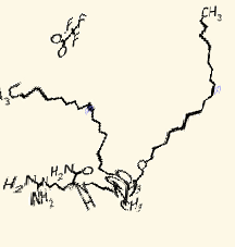 CCCCCCCC/C=C\CCCCCCCCOCC(C[N+](C)(C)CCN[C@@H](CCCN=C(N)N)C(N)=O)OCCCCCCCC/C=C\CCCCCCCC.O=C([O-])C(F)(F)F